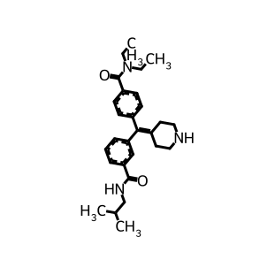 CCN(CC)C(=O)c1ccc(C(=C2CCNCC2)c2cccc(C(=O)NCC(C)C)c2)cc1